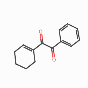 O=C(C(=O)c1ccccc1)C1=CCCCC1